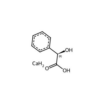 O=C(O)[C@H](O)c1ccccc1.[CaH2]